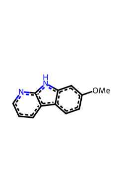 COc1ccc2c(c1)[nH]c1ncccc12